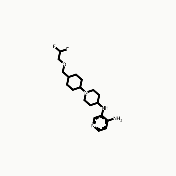 Nc1ccncc1NC1CCN(C2CCC(COCC(F)F)CC2)CC1